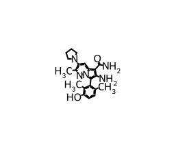 Cc1ccc(O)c(C)c1-c1c(N)c(C(N)=O)c2cc(N3CCCC3)c(C)nn12